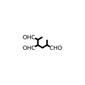 CC([C]=O)CC([C]=O)C(C)[C]=O